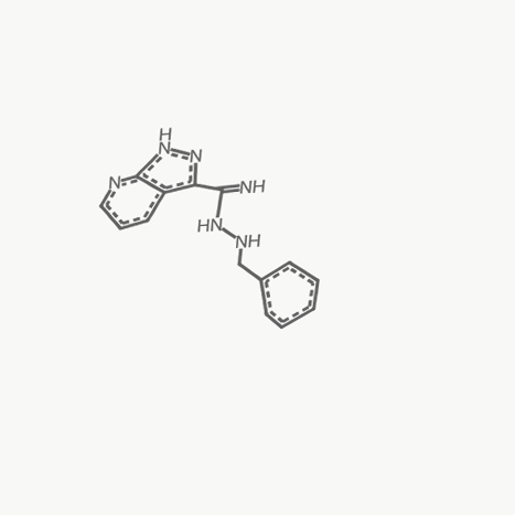 N=C(NNCc1ccccc1)c1n[nH]c2ncccc12